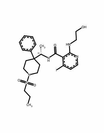 CCCS(=O)(=O)N1CCC(c2ccccc2)([C@H](C)NC(=O)c2c(I)ccnc2NCCO)CC1